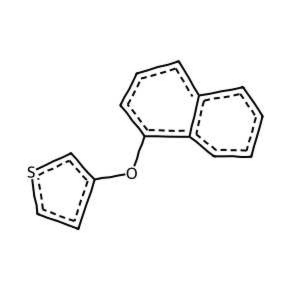 c1ccc2c(Oc3ccsc3)cccc2c1